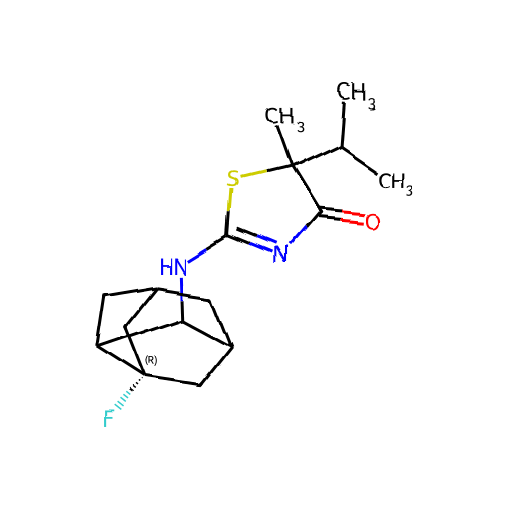 CC(C)C1(C)SC(NC2C3CC4CC2[C@@](F)(C4)C3)=NC1=O